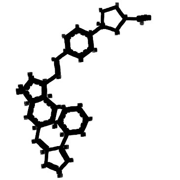 COC1CCN(c2ccc(C=Cc3n[nH]c4cc(/C=C5/C=NC=C5c5ccccc5)ccc34)cc2)C1